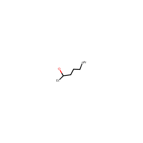 CCCCCCC([O])CC